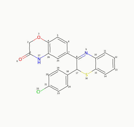 O=C1COc2ccc(C3=Nc4ccccc4SC3c3ccc(Cl)cc3)cc2N1